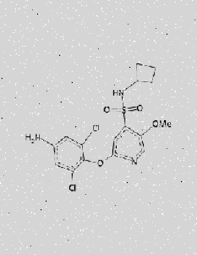 COc1cnc(Oc2c(Cl)cc(N)cc2Cl)cc1S(=O)(=O)NC1CCC1